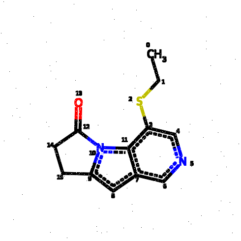 CCSc1cncc2cc3n(c12)C(=O)CC3